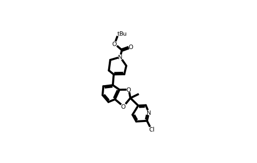 CC(C)(C)OC(=O)N1CC=C(c2cccc3c2OC(C)(c2ccc(Cl)nc2)O3)CC1